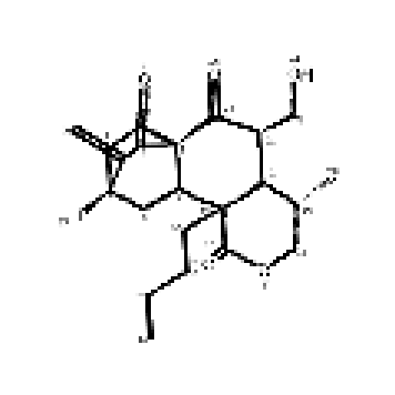 C=C1C(=O)[C@]23CC[C@H]1CC2C1(CCCC)C(=O)OC[C@@H](C)C1[C@H](CO)C3=O